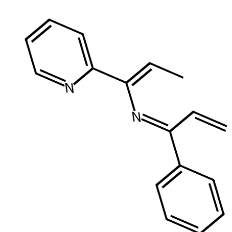 C=C/C(=N\C(=C/C)c1ccccn1)c1ccccc1